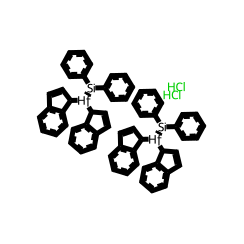 C1=C[CH]([Hf]([CH]2C=Cc3ccccc32)=[Si](c2ccccc2)c2ccccc2)c2ccccc21.C1=C[CH]([Hf]([CH]2C=Cc3ccccc32)=[Si](c2ccccc2)c2ccccc2)c2ccccc21.Cl.Cl